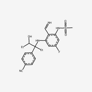 CCC(O)C(CC)(Nc1cc(F)cc(NS(C)(=O)=O)c1C=N)c1ccc(C#N)cc1